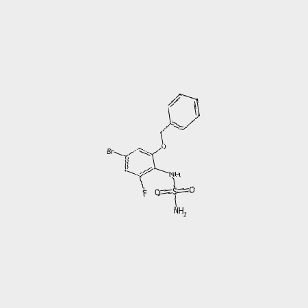 NS(=O)(=O)Nc1c(F)cc(Br)cc1OCc1ccccc1